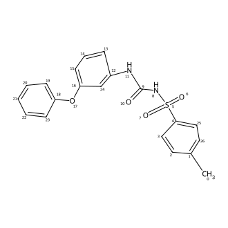 Cc1ccc(S(=O)(=O)NC(=O)Nc2cccc(Oc3ccccc3)c2)cc1